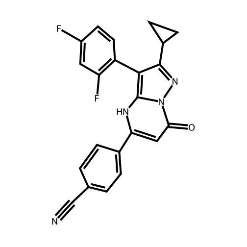 N#Cc1ccc(-c2cc(=O)n3nc(C4CC4)c(-c4ccc(F)cc4F)c3[nH]2)cc1